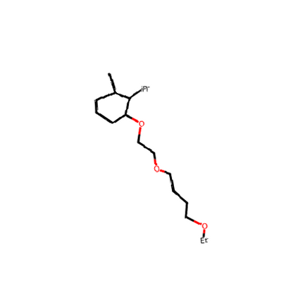 CCOCCCCOCCOC1CCCC(C)C1C(C)C